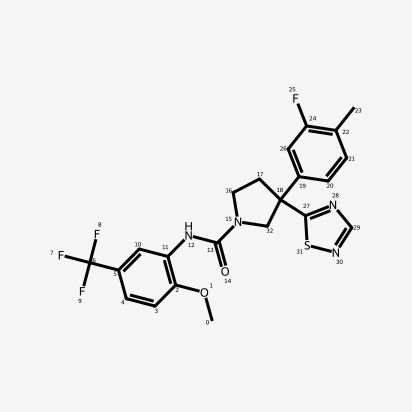 COc1ccc(C(F)(F)F)cc1NC(=O)N1CCC(c2ccc(C)c(F)c2)(c2ncns2)C1